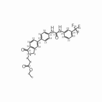 CCOC(=O)CCN1Cc2cc(-c3ccc(NC(=O)Nc4cccc(C(F)(F)F)c4)cc3)ccc2C1=O